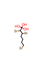 OC(O)(O)C(Br)C(Br)CCCCBr